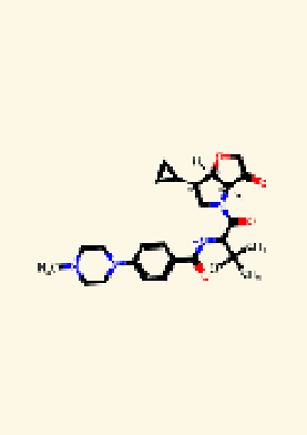 CCC(C)(C)C(NC(=O)c1ccc(N2CCN(C)CC2)cc1)C(=O)N1C[C@@H](C2CC2)[C@H]2OCC(=O)[C@H]21